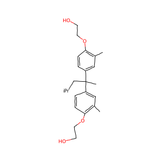 Cc1cc(C(C)(CC(C)C)c2ccc(OCCO)c(C)c2)ccc1OCCO